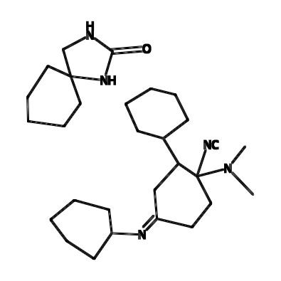 O=C1NCC2(CCCCC2)N1.[C-]#[N+]C1(N(C)C)CCC(=NC2CCCCC2)CC1C1CCCCC1